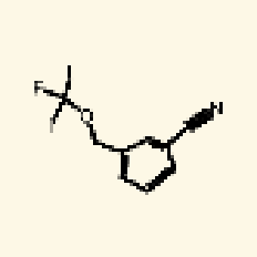 N#Cc1cccc(COC(F)(F)I)c1